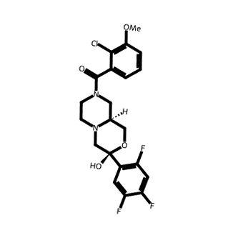 COc1cccc(C(=O)N2CCN3C[C@@](O)(c4cc(F)c(F)cc4F)OC[C@@H]3C2)c1Cl